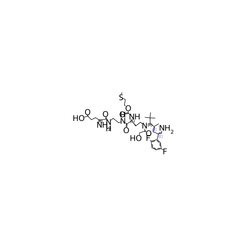 CSCCOC(=O)N[C@@H](CCN(C(=O)CO)[C@@H](/C(C)=C/C(=C\N)c1cc(F)ccc1F)C(C)(C)C)C(=O)NCCNC(=O)[C@H](N)CCC(=O)O